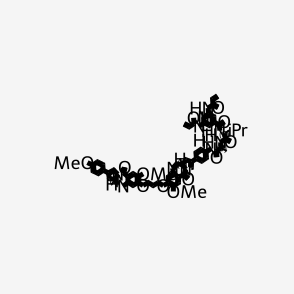 C=CC(=O)Nc1cc(C(=O)N[C@H](C(=O)N[C@@H](C)C(=O)Nc2ccc(C3=CN4C(=O)c5cc(OC)c(OCCCOc6cc7c(cc6OC)C(=O)N6C=C(c8ccc(OC)cc8)C[C@H]6C=N7)cc5N=C[C@@H]4C3)cc2)C(C)C)cc(NC(O)C=C)n1